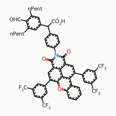 CCCCCc1cc(C(C(=O)O)c2ccc(-n3c(=O)c4cc(-c5cc(C(F)(F)F)cc(C(F)(F)F)c5)c5oc6ccccc6c6c(-c7cc(C(F)(F)F)cc(C(F)(F)F)c7)cc(c3=O)c4c56)cc2)cc(CCCCC)c1C=O